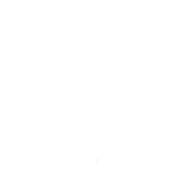 ClC1C=CC=C(C2=CC=CC(Cl)C2)C1